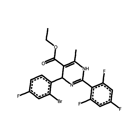 CCOC(=O)C1=C(C)NC(c2c(F)cc(F)cc2F)=NC1c1ccc(F)cc1Br